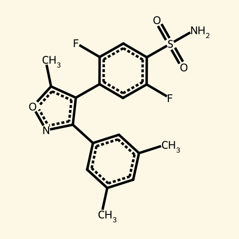 Cc1cc(C)cc(-c2noc(C)c2-c2cc(F)c(S(N)(=O)=O)cc2F)c1